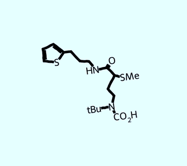 CSC(CCN(C(=O)O)C(C)(C)C)C(=O)NCCCc1cccs1